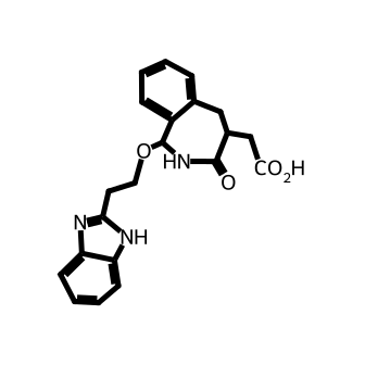 O=C(O)CC1Cc2ccccc2C(OCCc2nc3ccccc3[nH]2)NC1=O